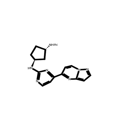 CC(=O)N[C@H]1CC[C@H](Nc2nccc(-c3ccn4nccc4n3)n2)C1